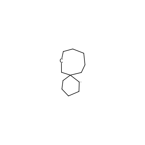 [CH]1CCCCC12CCCCCCC2